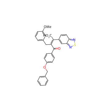 COc1cccc(CC(C(=O)c2ccc(OCc3ccccc3)cc2)=C(C(=O)O)c2ccc3nsnc3c2)c1